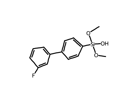 CO[Si](O)(OC)c1ccc(-c2cccc(F)c2)cc1